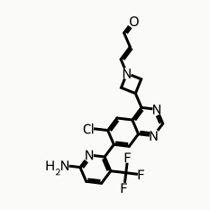 Nc1ccc(C(F)(F)F)c(-c2cc3ncnc(C4CN(C=CC=O)C4)c3cc2Cl)n1